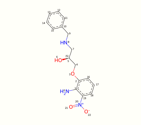 Nc1c(OC[C@@H](O)CNCc2ccccc2)cccc1[N+](=O)[O-]